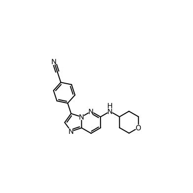 N#Cc1ccc(-c2cnc3ccc(NC4CCOCC4)nn23)cc1